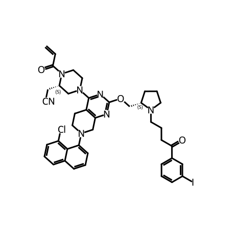 C=CC(=O)N1CCN(c2nc(OC[C@@H]3CCCN3CCCC(=O)c3cccc(I)c3)nc3c2CCN(c2cccc4cccc(Cl)c24)C3)C[C@@H]1CC#N